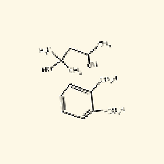 CC(O)CC(C)(C)O.O=C(O)c1ccccc1C(=O)O